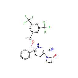 C[C@@H](OC[C@@]1(c2ccccc2)CC[C@](C#N)(N2CCC2=O)CN1)c1cc(C(F)(F)F)cc(C(F)(F)F)c1